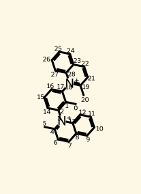 Cc1c(-[n+]2c(C)ccc3ccccc32)cccc1-[n+]1c(C)ccc2ccccc21